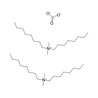 CCCCCCCC[N+](C)(C)CCCCCCCC.CCCCCCCC[N+](C)(C)CCCCCCCC.O=C([O-])[O-]